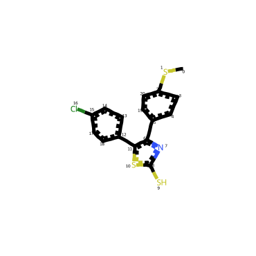 CSc1ccc(-c2nc(S)sc2-c2ccc(Cl)cc2)cc1